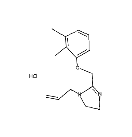 C=CCN1CCN=C1COc1cccc(C)c1C.Cl